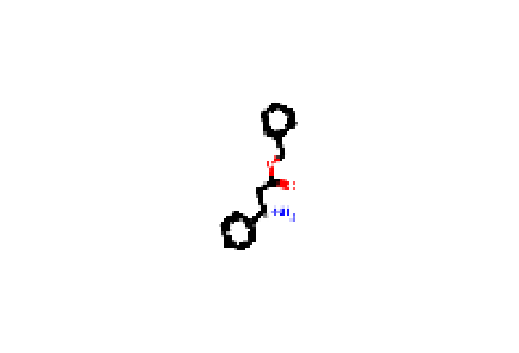 N[C@@H](CC(=O)OCc1ccccc1)c1ccccc1